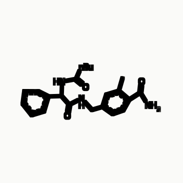 CCCCC(=O)NC(C(=O)NCc1ccc(C(N)=O)c(C)c1)c1ccccc1